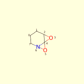 C1CC2OC23ON3C1